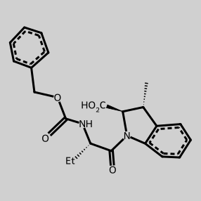 CC[C@H](NC(=O)OCc1ccccc1)C(=O)N1c2ccccc2[C@@H](C)[C@@H]1C(=O)O